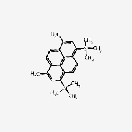 Cc1cc([Si](C)(C)C)c2ccc3c([Si](C)(C)C)cc(C)c4ccc1c2c43